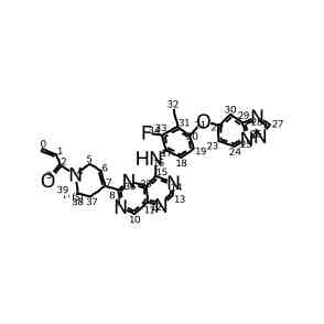 C=CC(=O)N1CC=C(c2ncc3ncnc(Nc4ccc(Oc5ccn6ncnc6c5)c(C)c4F)c3n2)C[C@@H]1C